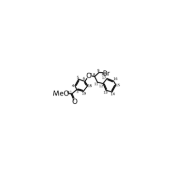 COC(=O)c1ccc(OC(CBr)Cc2ccccc2)cc1